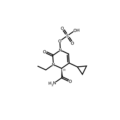 CCN1C(=O)N(OS(=O)(=O)O)C=C(C2CC2)[C@H]1C(N)=O